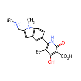 CCc1c(-c2ccc3c(c2)cc(CNC(C)C)n3C)[nH]c(=O)c(C(=O)O)c1O